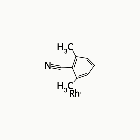 Cc1cccc(C)c1C#N.[Rh]